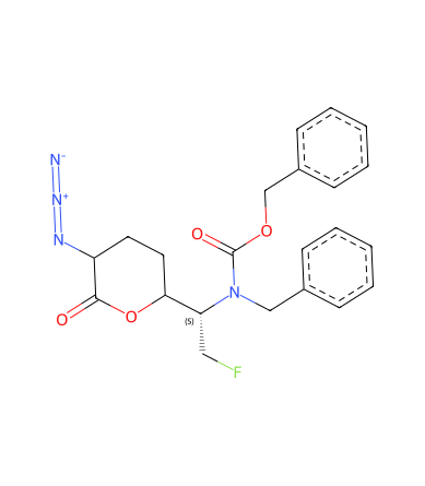 [N-]=[N+]=NC1CCC([C@@H](CF)N(Cc2ccccc2)C(=O)OCc2ccccc2)OC1=O